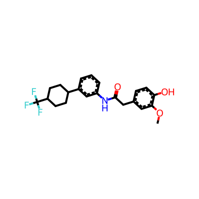 COc1cc(CC(=O)Nc2cccc(C3CCC(C(F)(F)F)CC3)c2)ccc1O